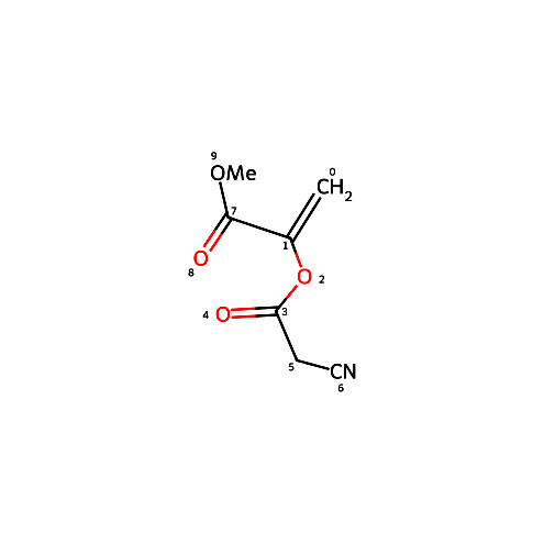 C=C(OC(=O)CC#N)C(=O)OC